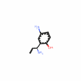 C=C[C@H](N)c1cc(N)ccc1O